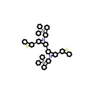 c1ccc([Si]2(c3ccccc3)c3ccccc3-c3ccc(-n4c5ccc(-c6ccc7sc8ccccc8c7c6)cc5c5cc(-c6ccc7c(c6)c6cc(-c8ccc9sc%10ccccc%10c9c8)ccc6n7-c6ccc7c(c6)[Si](c6ccccc6)(c6ccccc6)c6ccccc6-7)ccc54)cc32)cc1